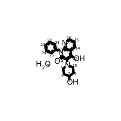 O.O=c1c(N2CCC(O)CC2)c(O)c2cccnc2n1-c1ccccc1